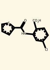 O=C(Nc1cc(Cl)ccc1C(=O)O)c1cccs1